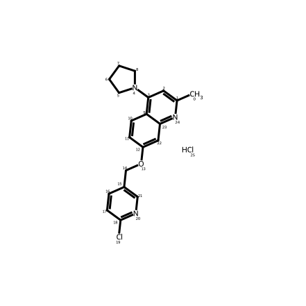 Cc1cc(N2CCCC2)c2ccc(OCc3ccc(Cl)nc3)cc2n1.Cl